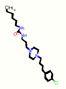 CCCCCCNC(=O)NCCCN1CCN(CCCCc2ccc(Cl)cc2)CC1